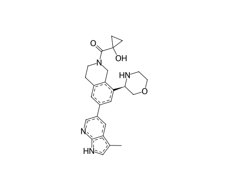 Cc1c[nH]c2ncc(-c3cc4c(c([C@@H]5COCCN5)c3)CN(C(=O)C3(O)CC3)CC4)cc12